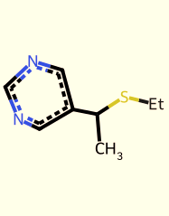 CCSC(C)c1cncnc1